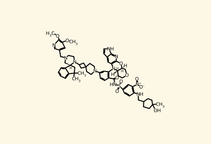 COc1cc(CN2CCN(C3CC4(CCN(c5ccc(C(=O)NS(=O)(=O)c6ccc(NCC7CCC(C)(O)CC7)c([N+](=O)[O-])c6)c(N6c7cc8cc[nH]c8nc7O[C@H]7COCC[C@@H]76)c5)CC4)C3)[C@]3(C2)CC(C)(C)c2ccccc23)cnc1OC